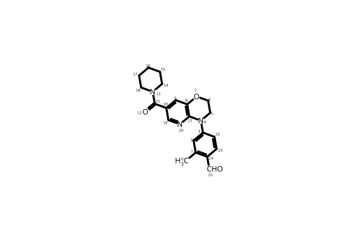 Cc1cc(N2CCOc3cc(C(=O)N4CCCCC4)cnc32)ccc1C=O